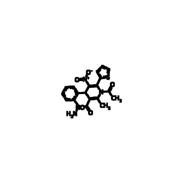 CC(=O)N1C(C)=C(C(=O)O)C(c2ccccc2CN)C([N+](=O)[O-])=C1c1cccs1